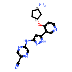 N#Cc1cnc(Nc2cc(-c3cnccc3O[C@@H]3CC[C@H](N)C3)[nH]n2)cn1